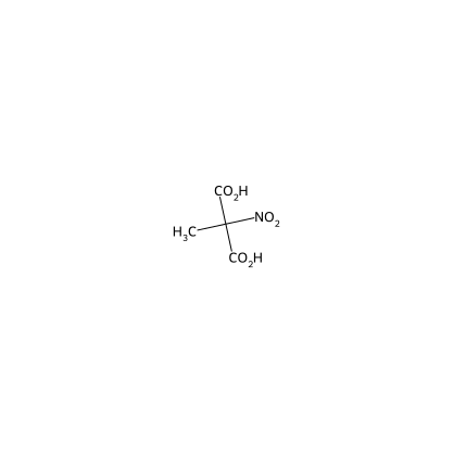 CC(C(=O)O)(C(=O)O)[N+](=O)[O-]